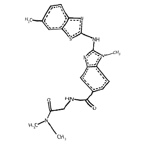 Cc1ccc2nc(Nc3nc4cc(C(=O)NCC(=O)N(C)C)ccc4n3C)sc2c1